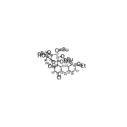 CCCCO[C@@H]1[C@@H](OCCCC)[C@](OC)(c2ccc(Cl)c(Cc3ccc(OCC)cc3)c2)O[C@@](CO)(C(C)(C)O)[C@H]1OCCCC